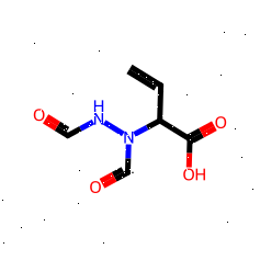 C=CC(C(=O)O)N([C]=O)NC=O